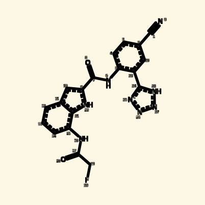 N#Cc1ccc(NC(=O)c2cc3cccc(NC(=O)CF)c3[nH]2)c(-c2nnn[nH]2)c1